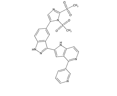 CS(=O)(=O)c1ncc(-c2ccc3[nH]nc(-c4cc5c(-c6cccnc6)nccc5[nH]4)c3c2)n1S(C)(=O)=O